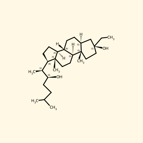 CC[C@]1(O)CC[C@@]2(C)[C@@H](CC[C@@H]3[C@@H]2CC[C@]2(C)[C@@H]([C@H](C)[C@@H](O)CCC(C)C)CC[C@@H]32)C1